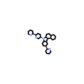 c1ccc(-c2ccc3c(c2)c2c4ccccc4ccc2n3-c2ccc(-c3ccccn3)nc2)nc1